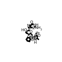 C#C[C@H](O)C(COP(=S)(NC(C)C(=O)OC(C)C)Oc1ccccc1)OC(CO)n1cnc2c(=O)[nH]c(N)nc21